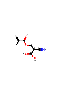 C=C(C)C(=O)OCC(C#N)C(=O)O